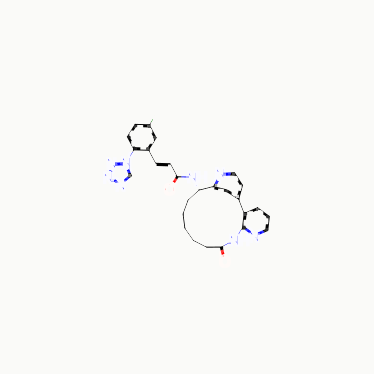 O=C(/C=C/c1cc(Cl)ccc1-n1cnnn1)N[C@H]1CCCCCC(=O)Nc2ncccc2-c2ccnc1c2